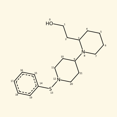 OCCC1CCCCN1C1CCN(Sc2ccccc2)CC1